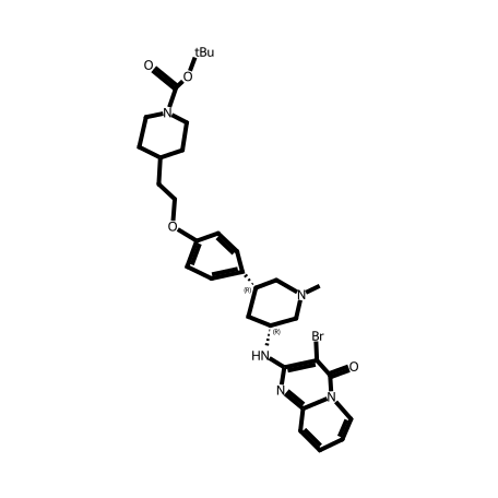 CN1C[C@H](Nc2nc3ccccn3c(=O)c2Br)C[C@H](c2ccc(OCCC3CCN(C(=O)OC(C)(C)C)CC3)cc2)C1